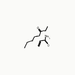 C=CC(N)=O.CCCCCC(=O)CC